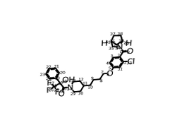 O=C(c1ccc(OCCCCC2CCN(C(=O)[C@](O)(c3ccccc3)C(F)(F)F)CC2)cc1Cl)N1C[C@H]2CC[C@@H]1C2